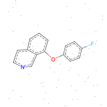 Fc1ccc(Oc2cccc3ccncc23)cc1